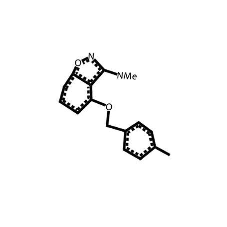 CNc1noc2cccc(OCc3ccc(C)cc3)c12